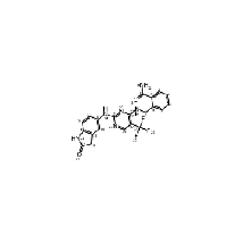 NC(=O)c1ccccc1CNc1nc(Nc2ccc3c(c2)CC(=O)N3)ncc1C(F)(F)F